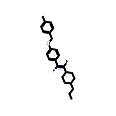 CCCC1CCC(/C(F)=C(\F)c2ccc(OCc3ccc(C)cc3)cc2)CC1